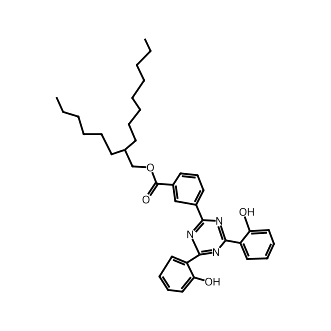 CCCCCCCCC(CCCCCC)COC(=O)c1cccc(-c2nc(-c3ccccc3O)nc(-c3ccccc3O)n2)c1